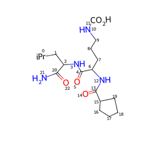 CC(C)CC(NC(=O)C(CCCNC(=O)O)NC(=O)C1CCCC1)C(N)=O